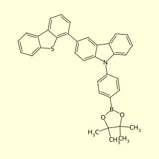 CC1(C)OB(c2ccc(-n3c4ccccc4c4cc(-c5cccc6c5sc5ccccc56)ccc43)cc2)OC1(C)C